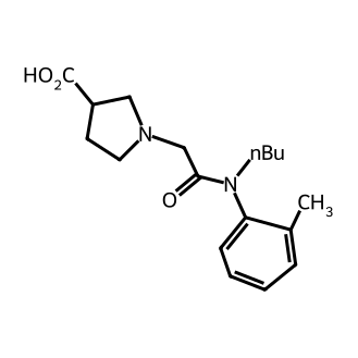 CCCCN(C(=O)CN1CCC(C(=O)O)C1)c1ccccc1C